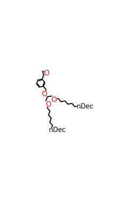 CCCCCCCCCCCCCCCCOCC(COCCCCCCCCCCCCCCCC)OCc1cccc(C2CO2)c1